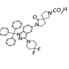 O=C(O)N1CCC2(CCN(c3ccc4c(c3)c(N3CCC(F)(F)CC3)nn4C(c3ccccc3)(c3ccccc3)c3ccccc3)C2=O)C1